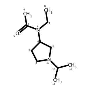 CCN(C(C)=O)C1CCN(C(C)C)C1